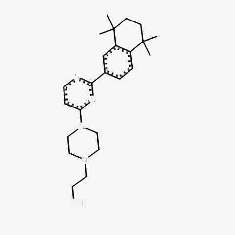 CC1(C)CCC(C)(C)c2cc(-c3nccc(N4CCN(CCO)CC4)n3)ccc21